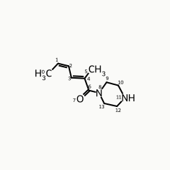 C/C=C\C=C(/C)C(=O)N1CCNCC1